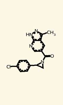 Cc1n[nH]c2ncc(C(=O)N3CC3c3ccc(Cl)cc3)cc12